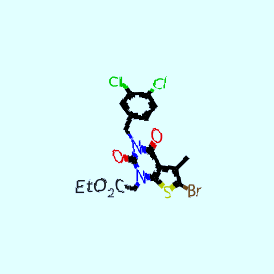 CCOC(=O)Cn1c(=O)n(Cc2ccc(Cl)c(Cl)c2)c(=O)c2c(C)c(Br)sc21